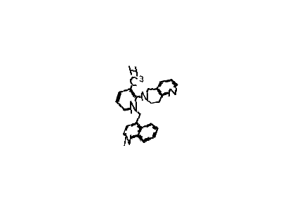 CC1=C(N2CCc3ncccc3C2)N(Cc2ccnc3ccccc23)CC=C1